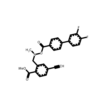 C#Cc1ccc(C(=O)OC)c(CN(C)OC(=O)c2ccc(-c3ccc(F)c(F)c3)cc2)c1